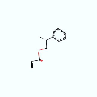 C=CC(=O)OC[C@@H](C)c1ccccc1